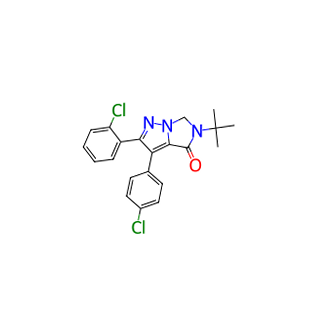 CC(C)(C)N1Cn2nc(-c3ccccc3Cl)c(-c3ccc(Cl)cc3)c2C1=O